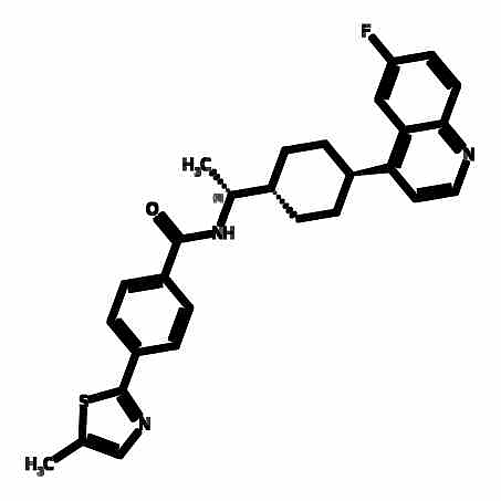 Cc1cnc(-c2ccc(C(=O)N[C@H](C)[C@H]3CC[C@H](c4ccnc5ccc(F)cc54)CC3)cc2)s1